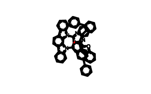 c1ccc(-c2ccc(-c3nc(-c4ccccc4-c4ccccc4)nc(-n4c5ccccc5c5ccc6c7ccccc7n(-c7cc(-c8ccccc8)c8oc9ccccc9c8c7)c6c54)n3)cc2)cc1